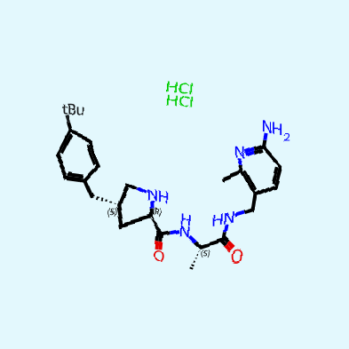 Cc1nc(N)ccc1CNC(=O)[C@H](C)NC(=O)[C@H]1C[C@H](Cc2ccc(C(C)(C)C)cc2)CN1.Cl.Cl